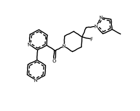 Cc1cnn(CC2(F)CCN(C(=O)c3cccnc3-c3ccncc3)CC2)c1